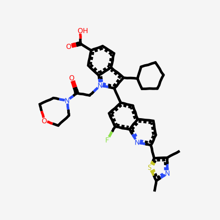 Cc1nc(C)c(-c2ccc3cc(-c4c(C5CCCCC5)c5ccc(C(=O)O)cc5n4CC(=O)N4CCOCC4)cc(F)c3n2)s1